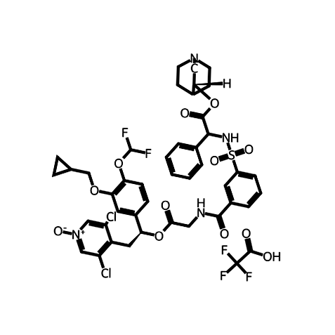 O=C(CNC(=O)c1cccc(S(=O)(=O)NC(C(=O)O[C@H]2CN3CCC2CC3)c2ccccc2)c1)O[C@@H](Cc1c(Cl)c[n+]([O-])cc1Cl)c1ccc(OC(F)F)c(OCC2CC2)c1.O=C(O)C(F)(F)F